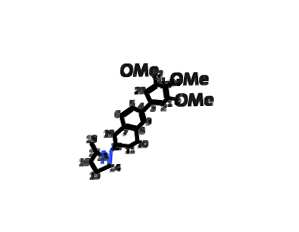 COc1cc(-c2ccc3c(c2)CCC(N2CCCC2C)C3)cc(OC)c1OC